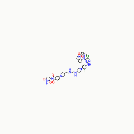 CS(=O)(=O)N1CCc2cccc(Nc3nc(Nc4ccc(N5CCC(NCCNCCC6CCN(c7ccc8c(c7)C(=O)N(C7CCC(=O)NC7=O)C8=O)CC6)CC5)c(F)c4)ncc3Cl)c21